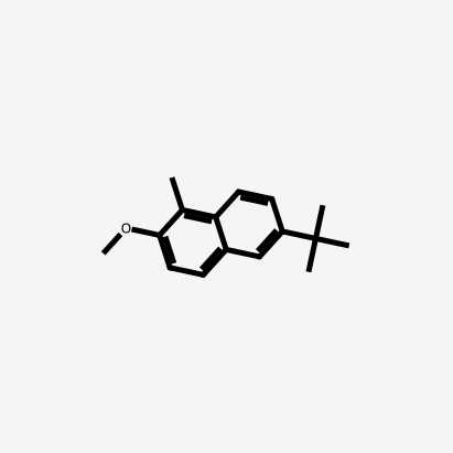 COc1ccc2cc(C(C)(C)C)ccc2c1C